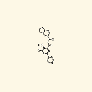 Cn1c(NCC(=O)c2ccc3c(c2)CCC3)nc(-c2ccncn2)cc1=O